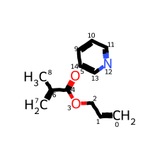 C=CCOC(=O)C(=C)C.c1ccncc1